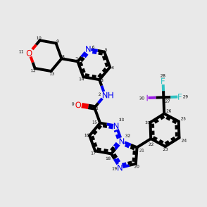 O=C(Nc1ccnc(C2CCOCC2)c1)c1ccc2ncc(-c3cccc(C(F)(F)I)c3)n2n1